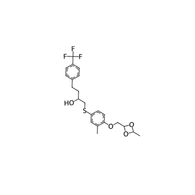 Cc1cc(SCC(O)CCc2ccc(C(F)(F)F)cc2)ccc1OCC1OC(C)O1